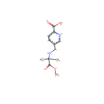 COC(=O)C(C)(C)NCc1ccc(C(=O)O)nc1